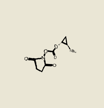 CCCC[C@@H]1C[C@H]1OC(=O)ON1C(=O)CCC1=O